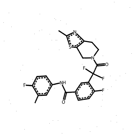 Cc1nc2c(s1)CN(C(=O)C(F)(F)c1cc(C(=O)Nc3ccc(F)c(C)c3)ccc1F)CC2